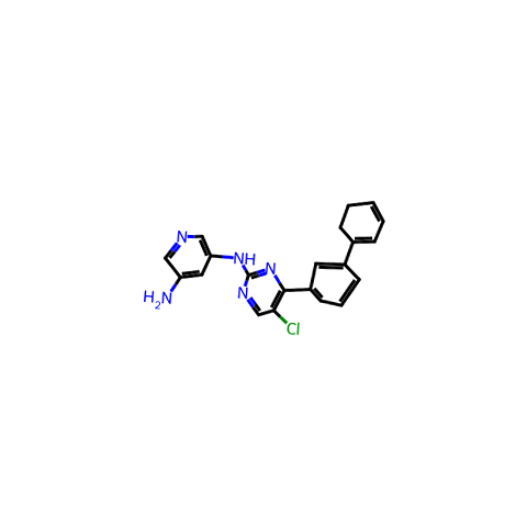 Nc1cncc(Nc2ncc(Cl)c(-c3cccc(C4=CC=CCC4)c3)n2)c1